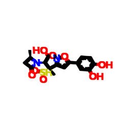 C[C@@H]1CC(=O)N1[C@@H](C(=O)O)[C@](C)(c1cc(-c2ccc(O)c(O)c2)on1)[SH](=O)=O